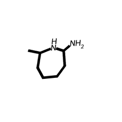 CC1CCCCC(N)N1